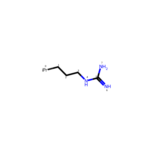 CC(C)CCCNC(=N)N